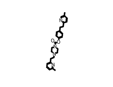 Cc1ccc(CCc2ccc(OC(=O)N3CCN(CCc4cccc(C)n4)CC3)cc2)nc1